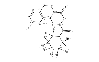 [2H]C1([2H])C(C(=O)N2CC(=O)N3CCc4ccc(F)cc4[C@@H]3C2)C([2H])([2H])C([2H])([2H])C([2H])([2H])C1([2H])[2H]